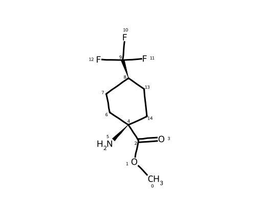 COC(=O)[C@]1(N)CC[C@@H](C(F)(F)F)CC1